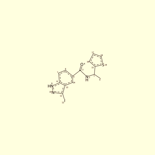 CC(NC(=O)c1ccc2[nH]nc(I)c2c1)c1cccs1